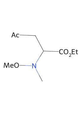 CCOC(=O)C(CC(C)=O)N(C)OC